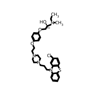 CCN(C)C[C@H](O)COc1ccc(OCCN2CCN(CCCN3c4ccccc4Sc4ccc(Cl)cc43)CC2)cc1